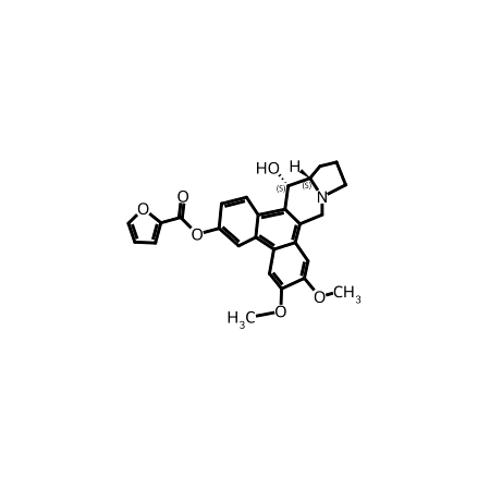 COc1cc2c3c(c4ccc(OC(=O)c5ccco5)cc4c2cc1OC)[C@H](O)[C@@H]1CCCN1C3